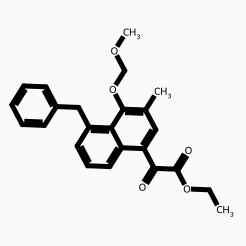 CCOC(=O)C(=O)c1cc(C)c(OCOC)c2c(Cc3ccccc3)cccc12